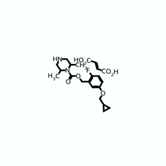 CC1CNCC(C)N1C(=O)OCc1cc(OCC2CC2)ccc1F.O=C(O)C=CC(=O)O